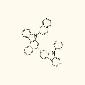 c1ccc(-n2c3ccccc3c3ccc(-c4cc5c(c6ccccc46)c4ccccc4n5-c4ccc5ccccc5c4)cc32)cc1